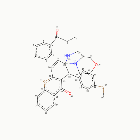 CCC(=O)c1ccccc1.CNC1(N2CCOCC2)C=Cc2sc3ccccc3c(=O)c2C1c1ccc(SC)cc1